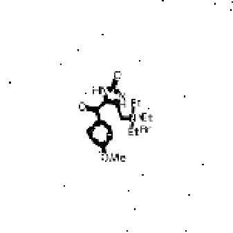 CC[N+](CC)(CC)Cc1[nH]c(=O)[nH]c1C(=O)c1ccc(OC)cc1.[Br-]